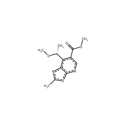 COC(=O)c1cnc2sc(C)nc2c1[C@@H](C)OC